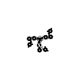 Cc1ccc(Sc2ccccc2N2CCN(COP(=O)(OCN3CCN(c4ccccc4Sc4ccc(C)cc4C)CC3)OCN3CCN(c4ccccc4Sc4ccc(C)cc4C)CC3)CC2)c(C)c1